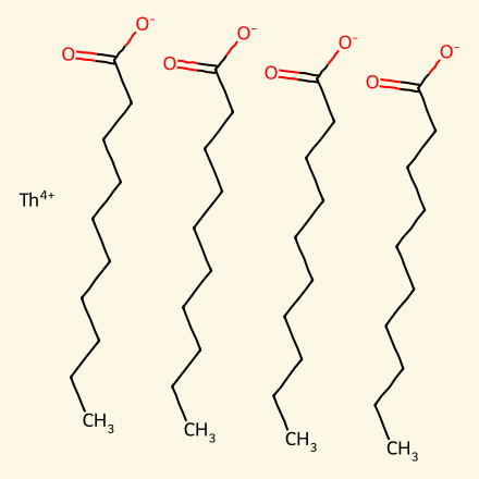 CCCCCCCCCC(=O)[O-].CCCCCCCCCC(=O)[O-].CCCCCCCCCC(=O)[O-].CCCCCCCCCC(=O)[O-].[Th+4]